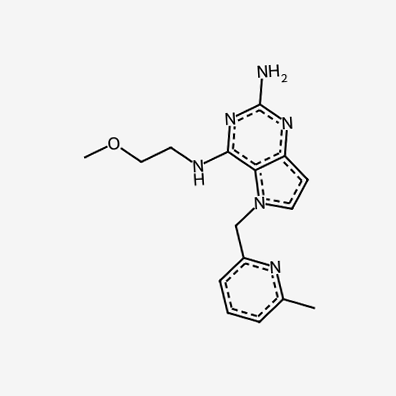 COCCNc1nc(N)nc2ccn(Cc3cccc(C)n3)c12